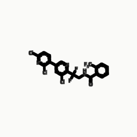 O=C(NCC(F)(F)c1ncc(-c2ccc(Cl)nc2Cl)cc1Cl)c1ccccc1C(F)(F)F